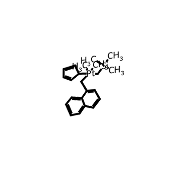 C[Si](C)(C)[CH2][Pt]([CH3])([CH3])([CH2]c1cccc2ccccc12)[CH]1C=CC=C1